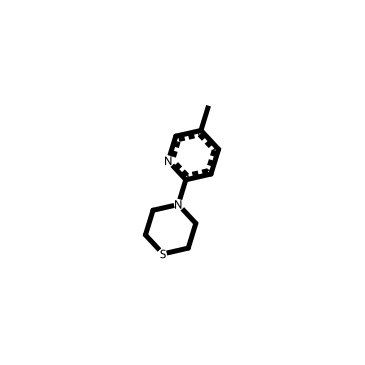 Cc1ccc(N2CCSCC2)nc1